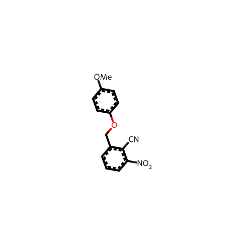 COc1ccc(OCc2cccc([N+](=O)[O-])c2C#N)cc1